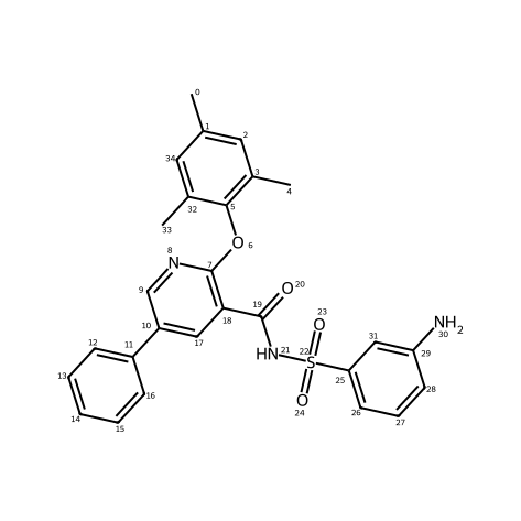 Cc1cc(C)c(Oc2ncc(-c3ccccc3)cc2C(=O)NS(=O)(=O)c2cccc(N)c2)c(C)c1